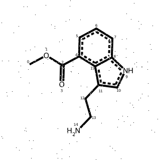 COC(=O)c1cccc2[nH]cc(CCN)c12